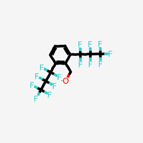 [O]Cc1c(C(F)(F)C(F)(F)C(F)(F)F)cccc1C(F)(F)C(F)(F)C(F)(F)F